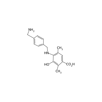 Cc1cc(C(=O)O)c(C)c(O)c1NCc1ccc(CN)cc1